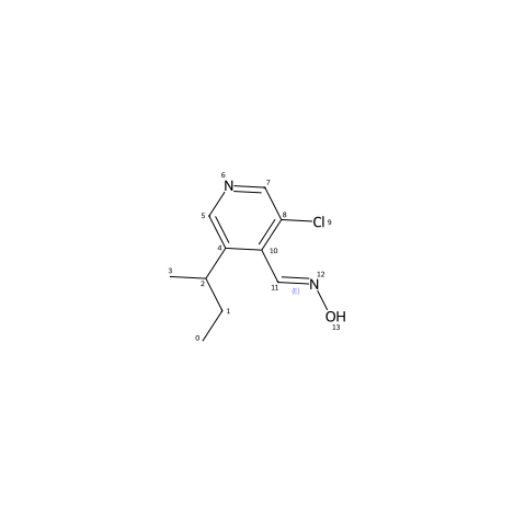 CCC(C)c1cncc(Cl)c1/C=N/O